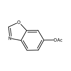 CC(=O)Oc1ccc2ncoc2c1